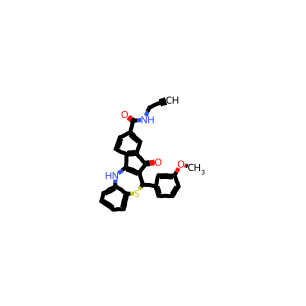 C#CCNC(=O)c1ccc2c(c1)C(=O)C1=C2Nc2ccccc2SC1c1cccc(OC)c1